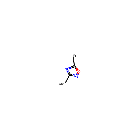 CSc1noc(C(C)C)n1